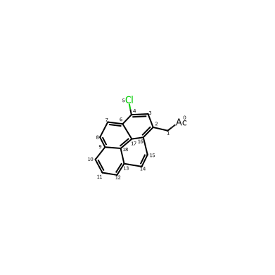 CC(=O)Cc1cc(Cl)c2ccc3cccc4ccc1c2c34